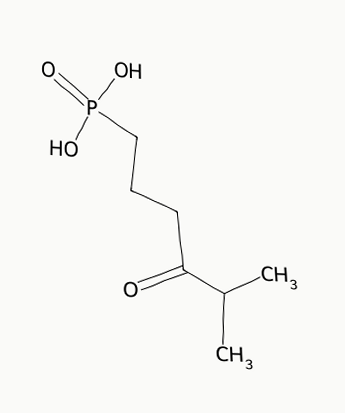 CC(C)C(=O)CCCP(=O)(O)O